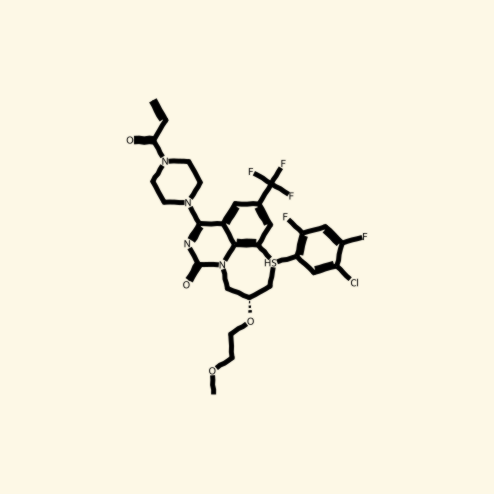 C=CC(=O)N1CCN(c2nc(=O)n3c4c(cc(C(F)(F)F)cc24)[SH](c2cc(Cl)c(F)cc2F)C[C@H](OCCOC)C3)CC1